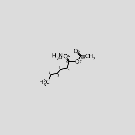 CCCCCC(=O)OC(C)=O.N